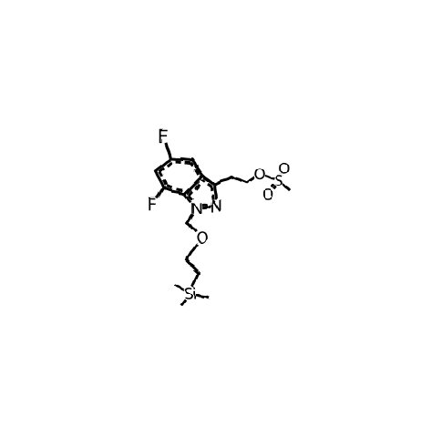 C[Si](C)(C)CCOCn1nc(CCOS(C)(=O)=O)c2cc(F)cc(F)c21